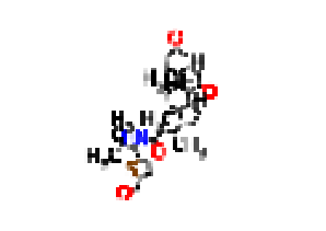 CC(C)[C@@H](NC(=O)C[C@@H](C)[C@H]1CC[C@H]2[C@@H]3C(=O)C[C@@H]4CC(=O)CC[C@]4(C)[C@H]3CC[C@]12C)c1ccc(C=O)s1